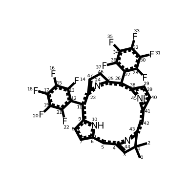 CC1(C)C=c2cc3ccc([nH]3)c(-c3c(F)c(F)c(F)c(F)c3F)c3nc(c(-c4c(F)c(F)c(F)c(F)c4F)c4ccc(cc1n2)[nH]4)CC=3